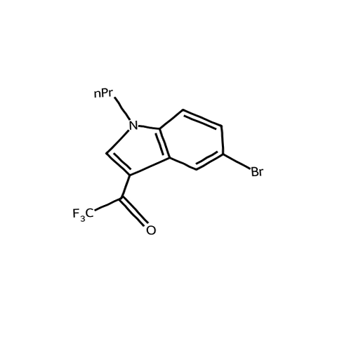 CCCn1cc(C(=O)C(F)(F)F)c2cc(Br)ccc21